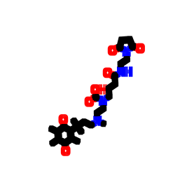 CC1=C(C)C(=O)C(C(C)(C)CCN(C)CCN(CCCC(=O)NCCN2C(=O)C=CC2=O)C(=O)O)=C(C)C1=O